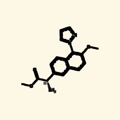 COC(=O)[C@@H](N)c1ccc2c(-n3cccn3)c(OC)ccc2c1